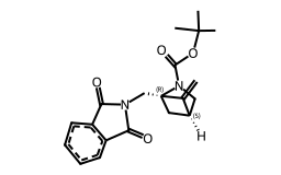 C=C1[C@H]2CN(C(=O)OC(C)(C)C)[C@]1(CN1C(=O)c3ccccc3C1=O)C2